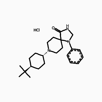 CC(C)(C)[C@H]1CC[C@H](N2CCC3(CC2)C(=O)NCN3c2ccccc2)CC1.Cl